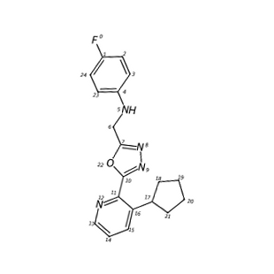 Fc1ccc(NCc2nnc(-c3ncccc3C3CCCC3)o2)cc1